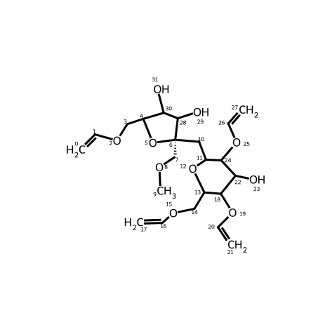 C=COCC1O[C@](COC)(CC2OC(COC=C)C(OC=C)C(O)C2OC=C)C(O)C1O